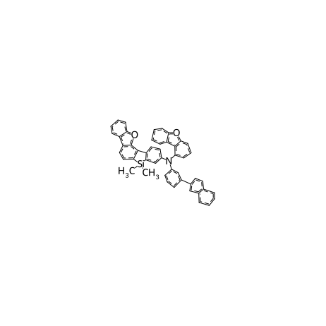 C[Si]1(C)c2cc(N(c3cccc(-c4ccc5ccccc5c4)c3)c3cccc4oc5ccccc5c34)ccc2-c2c1ccc1c2oc2ccccc21